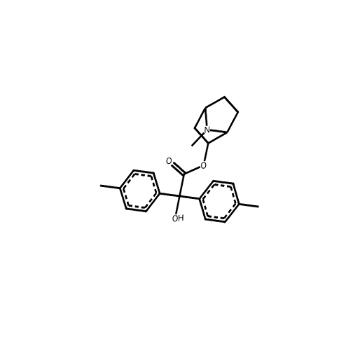 Cc1ccc(C(O)(C(=O)OC2CC3CCC2N3C)c2ccc(C)cc2)cc1